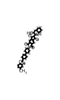 Cc1ccc2oc(-c3ccc(-c4ccc(N5C(=O)c6cc7c(cc6C5=O)C(=O)C(C5Nc6ccccc6CC5O)C7=O)cc4)cc3)nc2c1